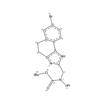 CCCN(Cc1nc2c([nH]1)-c1ccc(Br)cc1CC2)C(=O)OC(C)(C)C